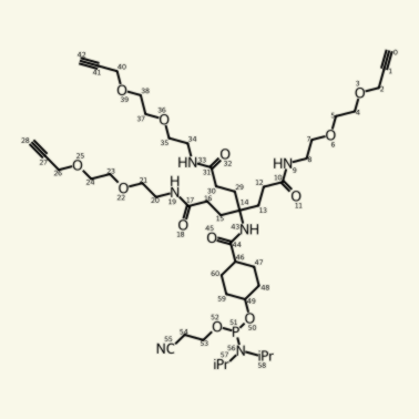 C#CCOCCOCCNC(=O)CCC(CCC(=O)NCCOCCOCC#C)(CCC(=O)NCCOCCOCC#C)NC(=O)C1CCC(OP(OCCC#N)N(C(C)C)C(C)C)CC1